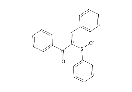 O=C(/C(=C/c1ccccc1)[S+]([O-])c1ccccc1)c1ccccc1